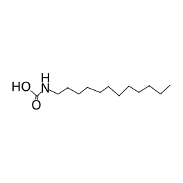 CCCCCCCCCCCCNC(=O)O